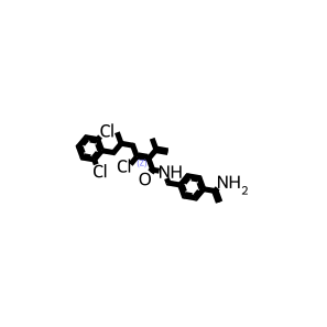 C=C(C)/C(C(=O)NCc1ccc(C(=C)N)cc1)=C(/Cl)CC(C)Cc1c(Cl)cccc1Cl